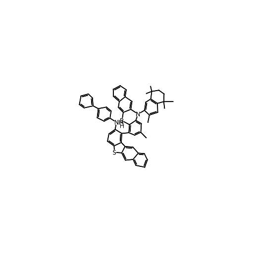 Cc1cc(-c2c(Nc3ccc(-c4ccccc4)cc3)ccc3sc4cc5ccccc5cc4c23)c2c(c1)N(c1cc3c(cc1C)C(C)(C)CCC3(C)C)c1cc3ccccc3cc1B2